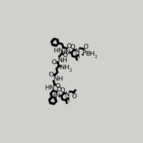 BP(C)C(=O)CNC(=O)C(CC(C)C)NC(=O)C(Cc1ccccc1)NC(=O)CNC(=O)C(N)CCC(=O)NCC(=O)NC(Cc1ccccc1)C(=O)NC(CC(C)C)C(=O)NCC(C)=O